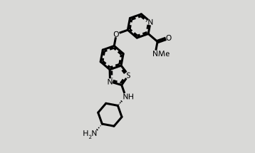 CNC(=O)c1cc(Oc2ccc3nc(N[C@H]4CC[C@@H](N)CC4)sc3c2)ccn1